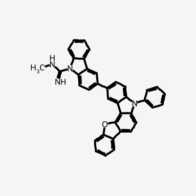 CNC(=N)n1c2ccccc2c2cc(-c3ccc4c(c3)c3c5oc6ccccc6c5ccc3n4-c3ccccc3)ccc21